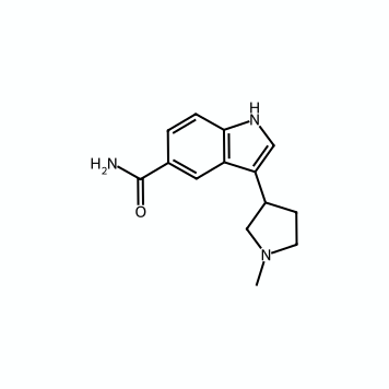 CN1CCC(c2c[nH]c3ccc(C(N)=O)cc23)C1